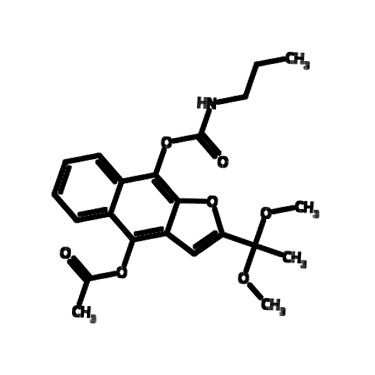 CCCNC(=O)Oc1c2ccccc2c(OC(C)=O)c2cc(C(C)(OC)OC)oc12